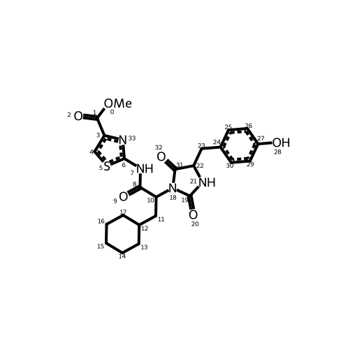 COC(=O)c1csc(NC(=O)C(CC2CCCCC2)N2C(=O)NC(Cc3ccc(O)cc3)C2=O)n1